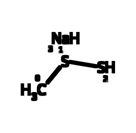 CSS.[NaH]